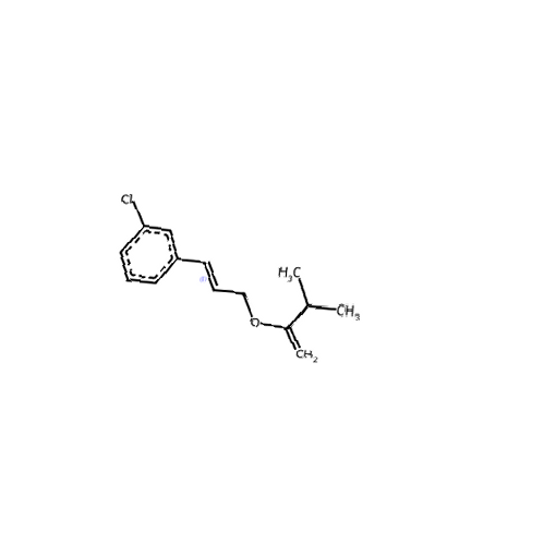 C=C(OC/C=C/c1cccc(Cl)c1)C(C)C